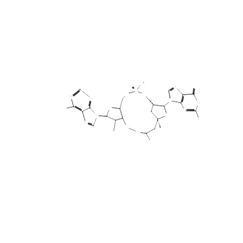 Nc1nc2c(ncn2C2O[C@@H]3CC(O)COC4C(COP(=O)(O)O[C@H]2C3)OC(n2cnc3c(N)ncnc32)C4F)c(=O)[nH]1